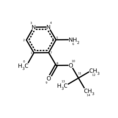 Cc1cnnc(N)c1C(=O)OC(C)(C)C